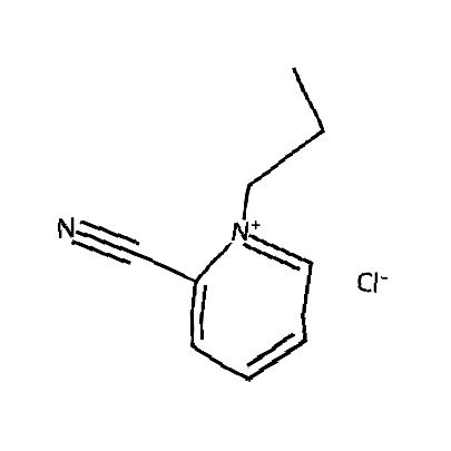 CCC[n+]1ccccc1C#N.[Cl-]